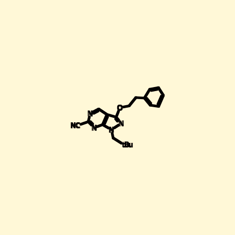 CC(C)(C)Cn1nc(OCCc2ccccc2)c2cnc(C#N)nc21